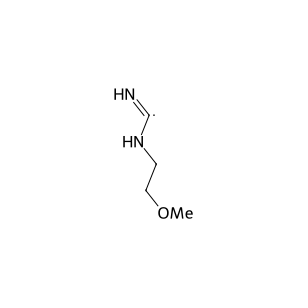 COCCN[C]=N